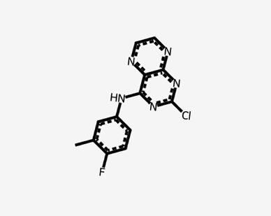 Cc1cc(Nc2nc(Cl)nc3nccnc23)ccc1F